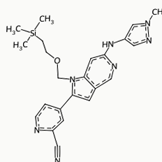 Cn1cc(Nc2cc3c(cn2)cc(-c2ccnc(C#N)c2)n3COCC[Si](C)(C)C)cn1